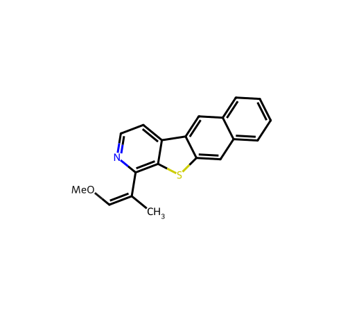 CO/C=C(/C)c1nccc2c1sc1cc3ccccc3cc12